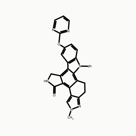 CC(C)n1c2ccc(Oc3ncccn3)cc2c2c3c(c4c(c21)CCc1nn(C)cc1-4)C(=O)NC3